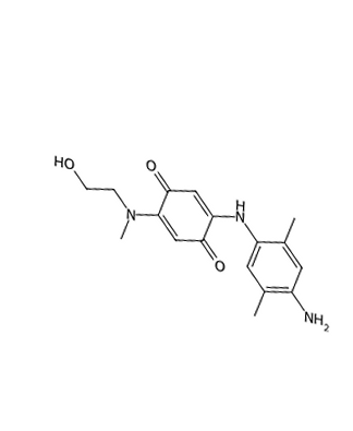 Cc1cc(NC2=CC(=O)C(N(C)CCO)=CC2=O)c(C)cc1N